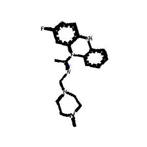 C/C(=N\CN1CCN(C)CC1)N1c2ccccc2Nc2ccc(F)cc21